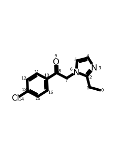 CCc1nccn1CC(=O)c1ccc(Cl)cc1